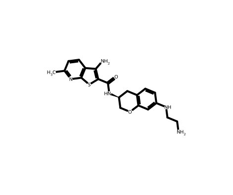 Cc1ccc2c(N)c(C(=O)N[C@@H]3COc4cc(NCCN)ccc4C3)sc2n1